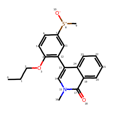 CCCOc1ccc([S+](C)[O-])cc1-c1cn(C)c(=O)c2ccccc12